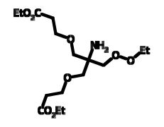 CCOOCC(N)(COCCC(=O)OCC)COCCC(=O)OCC